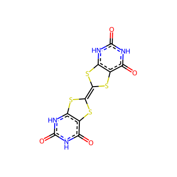 O=c1[nH]c2c(c(=O)[nH]1)S/C(=C1/Sc3[nH]c(=O)[nH]c(=O)c3S1)S2